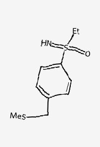 CCS(=N)(=O)c1ccc(CSC)cc1